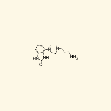 NCCCN1CCN(c2cccc3[nH]c(=O)[nH]c23)CC1